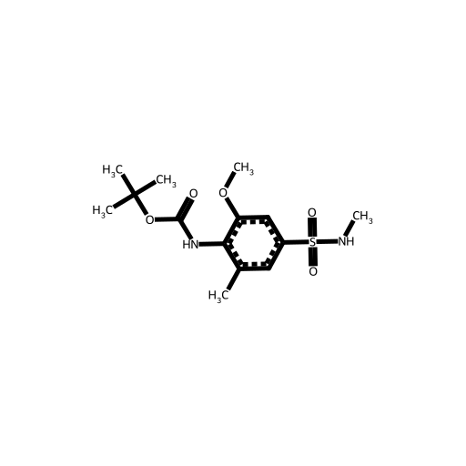 CNS(=O)(=O)c1cc(C)c(NC(=O)OC(C)(C)C)c(OC)c1